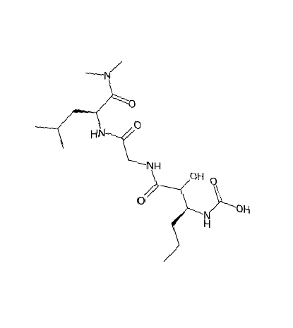 CCC[C@H](NC(=O)O)C(O)C(=O)NCC(=O)N[C@@H](CC(C)C)C(=O)N(C)C